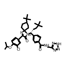 CC(C)Oc1ccc(C2=NC3(CCC(C(C)(C)C)CC3)N([C@H](CCC(C)(C)C)c3ccc(C(=O)NCc4nn[nH]n4)cc3)C2=O)cc1Cl